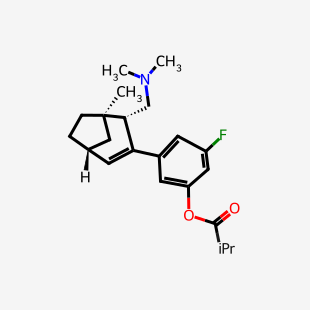 CC(C)C(=O)Oc1cc(F)cc(C2=C[C@@H]3CC[C@](C)(C3)[C@@H]2CN(C)C)c1